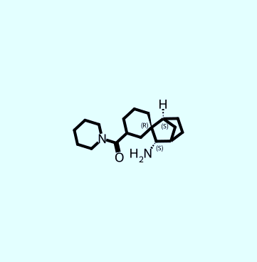 N[C@H]1C2CC[C@@H](C2)[C@]12CCCC(C(=O)N1CCCCC1)C2